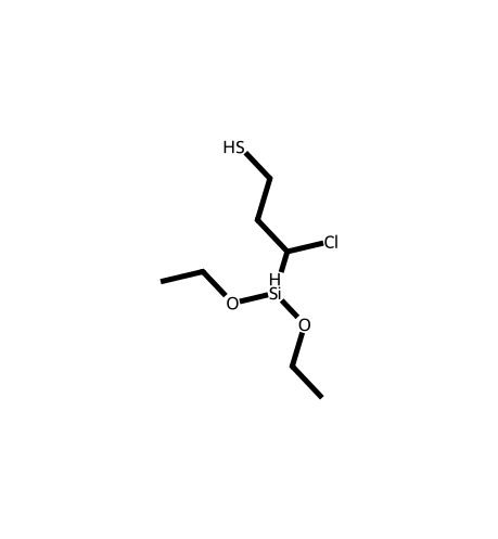 CCO[SiH](OCC)C(Cl)CCS